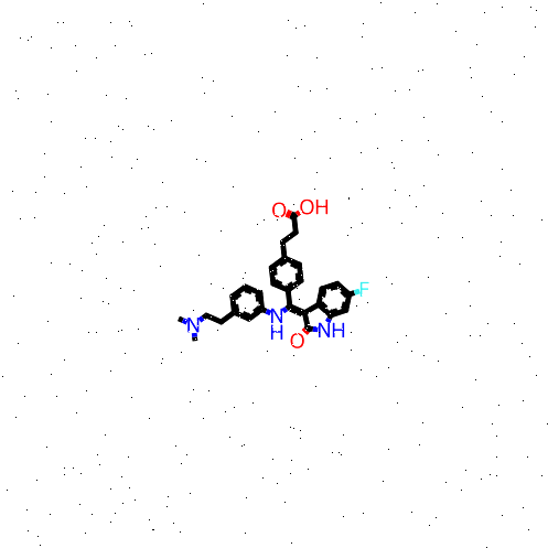 CN(C)CCc1cccc(N/C(=C2\C(=O)Nc3cc(F)ccc32)c2ccc(CCC(=O)O)cc2)c1